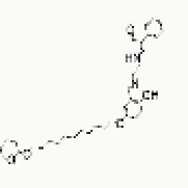 O=CC(=CNCCN=Cc1cc(OCCCCCCCCCCCOC2CCCCO2)ccc1O)c1ccccc1